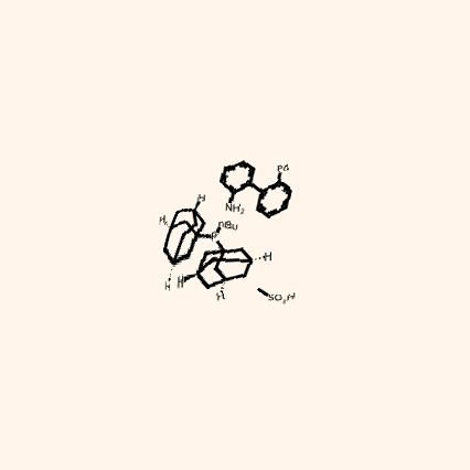 CCCCP(C12C[C@H]3C[C@H](C1)C[C@@H](C2)C3)C12C[C@H]3C[C@H](C1)C[C@@H](C2)C3.CS(=O)(=O)O.Nc1ccccc1-c1cccc[c]1[Pd]